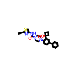 C#Cc1nc(NC(=O)N2CCN(c3ccc(-c4ccccc4)cc3C3(O)CCC3)CC2)cs1